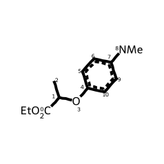 CCOC(=O)C(C)Oc1ccc(NC)cc1